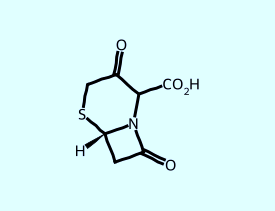 O=C(O)C1C(=O)CS[C@H]2CC(=O)N12